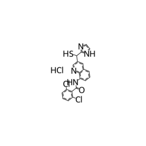 Cl.O=C(Nc1cccc2cc(C(S)c3ncc[nH]3)cnc12)c1c(Cl)cccc1Cl